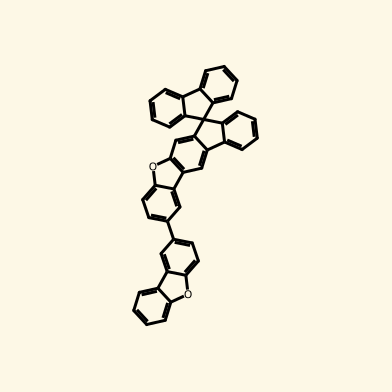 c1ccc2c(c1)-c1ccccc1C21c2ccccc2-c2cc3c(cc21)oc1ccc(-c2ccc4oc5ccccc5c4c2)cc13